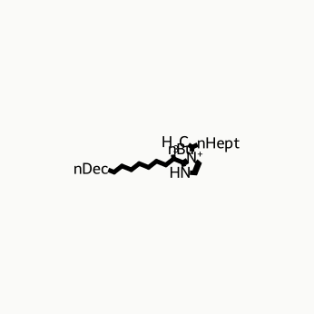 CCCCCCCCCCCCCCCCCC(CCCC)c1[nH]cc[n+]1C(C)CCCCCCC